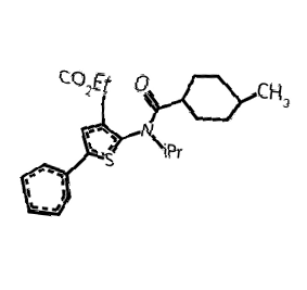 CCOC(=O)c1cc(-c2ccccc2)sc1N(C(=O)C1CCC(C)CC1)C(C)C